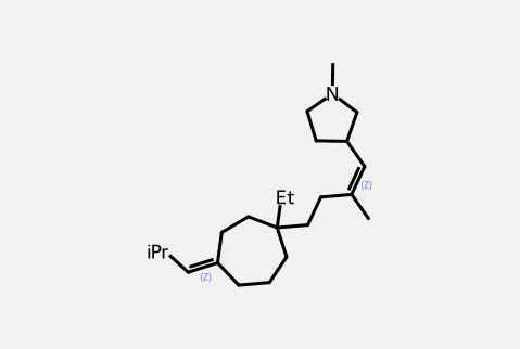 CCC1(CC/C(C)=C\C2CCN(C)C2)CCC/C(=C/C(C)C)CC1